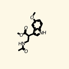 COC(=O)C(CNC(C)=O)c1c[nH]c2ccc(OC)cc12